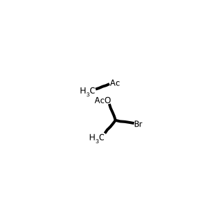 CC(=O)OC(C)Br.CC(C)=O